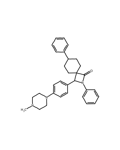 CN1CCN(c2ccc(C3N(c4ccccc4)C(=O)C34CCC(c3ccccc3)CC4)cc2)CC1